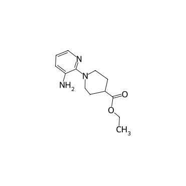 CCOC(=O)C1CCN(c2ncccc2N)CC1